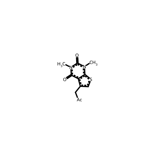 CC(=O)Cc1csc2c1c(=O)n(C)c(=O)n2C